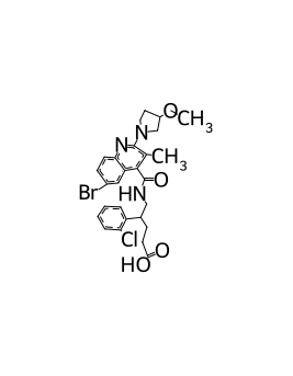 COC1CCN(c2nc3ccc(Br)cc3c(C(=O)NCC(CCC(=O)O)c3ccccc3Cl)c2C)C1